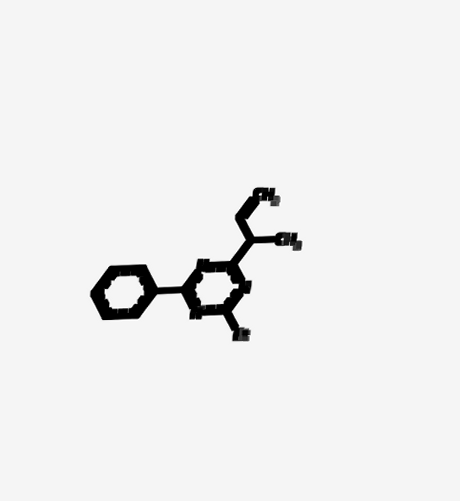 C=CC(C)c1nc(CC)nc(-c2ccccc2)n1